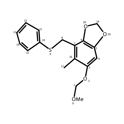 COCOc1cc2c(c(CSc3ccccc3)c1C)OCO2